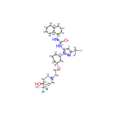 CC(C)(C)c1cc(NC(=O)Nc2cccc3ccccc23)n(-c2cccc(OCCN3CCC(O)(C(F)(F)F)CC3)c2)n1